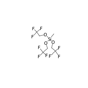 C[Si](OCC(F)(F)F)(OCC(F)(F)F)OCC(F)(F)F